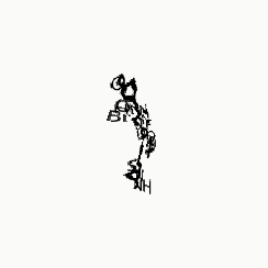 CNc1ccc2sc(C#C[C@H]3O[C@@H](n4cc(Br)c5c(NCc6ccc(OC)cc6OC)ncnc54)[C@@H](F)[C@@H]3O[Si](C)(C)C(C)(C)C)cc2n1